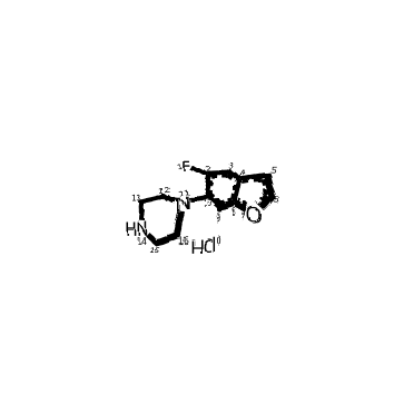 Cl.Fc1cc2ccoc2cc1N1CCNCC1